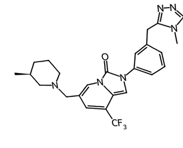 C[C@H]1CCCN(Cc2cc(C(F)(F)F)c3cn(-c4cccc(Cc5nncn5C)c4)c(=O)n3c2)C1